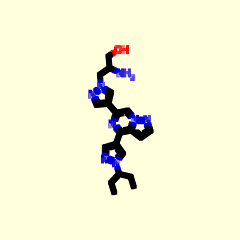 CCC(CC)n1cc(-c2nc(-c3cnn(CC(N)CO)c3)cn3nccc23)cn1